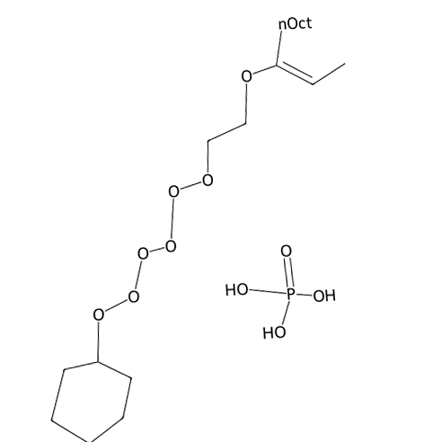 CC=C(CCCCCCCC)OCCOOOOOOC1CCCCC1.O=P(O)(O)O